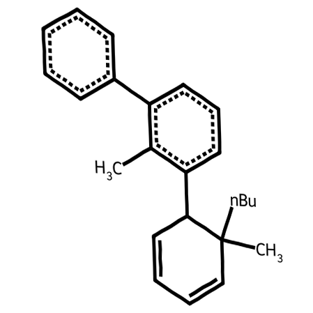 CCCCC1(C)C=CC=CC1c1cccc(-c2ccccc2)c1C